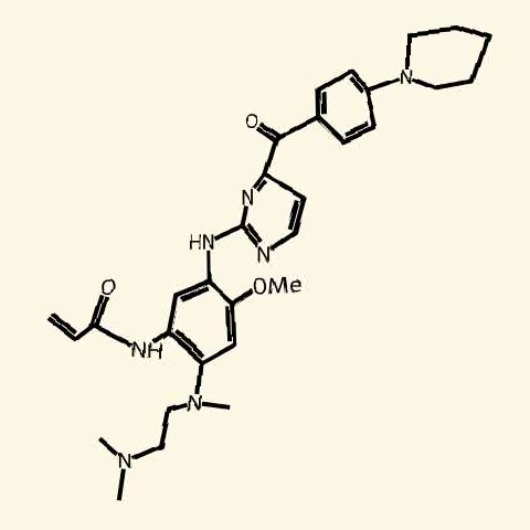 C=CC(=O)Nc1cc(Nc2nccc(C(=O)c3ccc(N4CCCCC4)cc3)n2)c(OC)cc1N(C)CCN(C)C